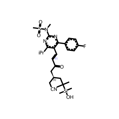 CC(C)c1nc(N(C)S(C)(=O)=O)nc(-c2ccc(F)cc2)c1/C=C/C(=O)C[C@H](CC#N)CC(C)(C)[Si](C)(C)O